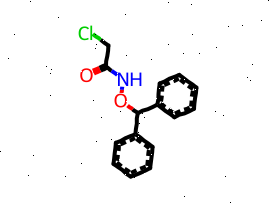 O=C(CCl)NOC(c1ccccc1)c1ccccc1